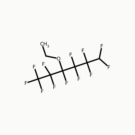 CCOC(F)(C(F)(F)C(F)(F)F)C(F)(F)C(F)(F)C(F)F